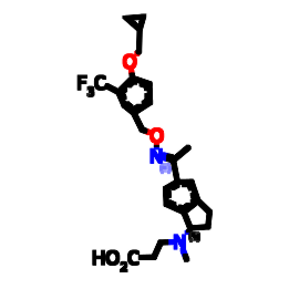 C/C(=N\OCc1ccc(OCC2CC2)c(C(F)(F)F)c1)c1ccc2c(c1)CC[C@@H]2N(C)CCC(=O)O